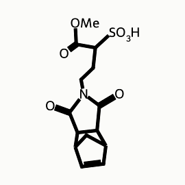 COC(=O)C(CCN1C(=O)C2C3C=CC(C3)C2C1=O)S(=O)(=O)O